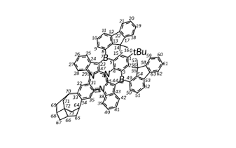 CC(C)(C)c1cc2c3c(c1)B(c1cccc4c1C(C)(C)c1ccccc1-4)c1c4ccccc4n4c5cc6c(cc5n5c7ccccc7c(c5n-3c14)B2c1cccc2c1C(C)(C)c1ccccc1-2)C1CC2CC3CC6CC23C1